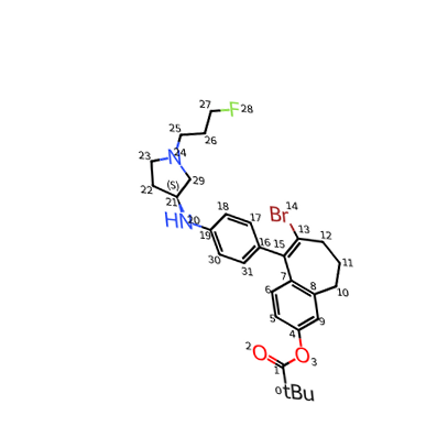 CC(C)(C)C(=O)Oc1ccc2c(c1)CCCC(Br)=C2c1ccc(N[C@H]2CCN(CCCF)C2)cc1